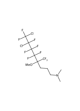 COC(CCCN(C)C)(C(F)(F)F)C(F)(F)C(F)(F)C(F)(Cl)C(F)(F)Cl